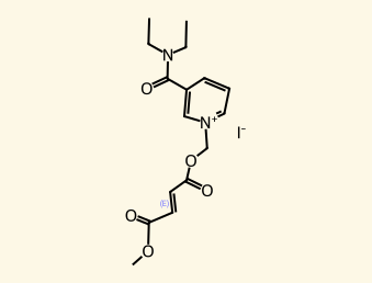 CCN(CC)C(=O)c1ccc[n+](COC(=O)/C=C/C(=O)OC)c1.[I-]